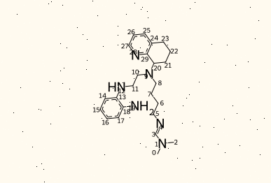 CN(C)/C=N/CCCCN(CCNc1ccccc1N)C1CCCc2cccnc21